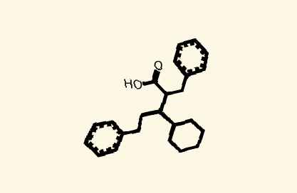 O=C(O)C(Cc1ccccc1)C(CCc1ccccc1)C1CCCCC1